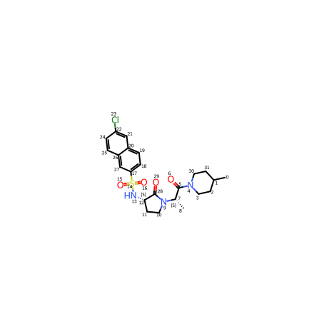 CC1CCN(C(=O)[C@H](C)N2CC[C@H](NS(=O)(=O)c3ccc4cc(Cl)ccc4c3)C2=O)CC1